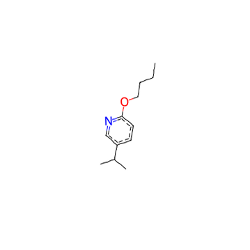 CCCCOc1ccc(C(C)C)cn1